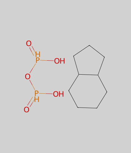 C1CCC2CCCC2C1.O=[PH](O)O[PH](=O)O